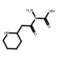 CCCCC(=O)N(N)C(=O)CC1CCCCN1